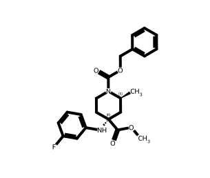 COC(=O)[C@@]1(Nc2cccc(F)c2)CCN(C(=O)OCc2ccccc2)[C@@H](C)C1